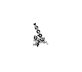 Cc1cc(-c2nc(C(N)=O)c(Nc3ccc(N4CCC(N5CCN(C6CC6)CC5)CC4)c(C)c3)nc2NC2CCOCC2)n[nH]1